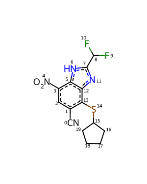 N#Cc1cc([N+](=O)[O-])c2[nH]c(C(F)F)nc2c1SC1CCCC1